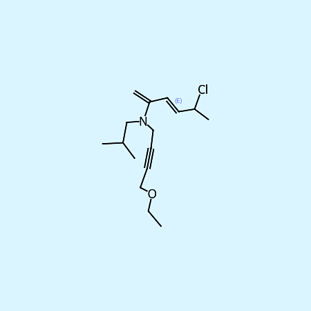 C=C(/C=C/C(C)Cl)N(CC#CCOCC)CC(C)C